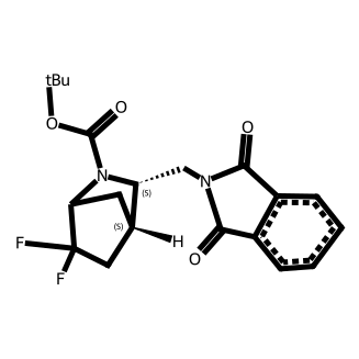 CC(C)(C)OC(=O)N1C2C[C@@H](CC2(F)F)[C@H]1CN1C(=O)c2ccccc2C1=O